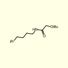 CC(C)CCCCNC(=O)COCC(C)C